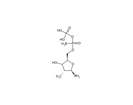 B[C@@H]1O[C@H](COP(B)(=O)OP(=O)(O)O)C(O)[C@H]1C